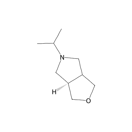 CC(C)N1CC2COC[C@H]2C1